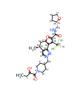 CCC(=O)C(=O)N1CCC(Cn2cc3c(n2)-c2c(oc(C(=O)NC[C@@H]4CCCO4)c2C(F)(F)F)C[C@@H]3C)CC1